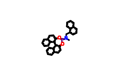 CN(Cc1cccc2ccccc12)p1oc2ccc3ccccc3c2c2c(ccc3ccccc32)o1